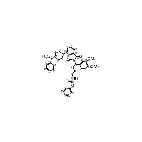 COc1ccc([C@@H](CCCNC(=O)Oc2ccnnc2)N2C(=O)c3cccc(N4CCN([C@H](C)c5ccccc5)CC4)c3C2=O)cc1OC